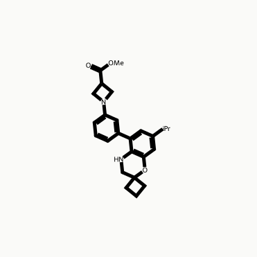 COC(=O)C1CN(c2cccc(-c3cc(C(C)C)cc4c3NCC3(CCC3)O4)c2)C1